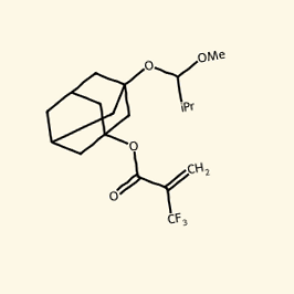 C=C(C(=O)OC12CC3CC(C1)CC(OC(OC)C(C)C)(C3)C2)C(F)(F)F